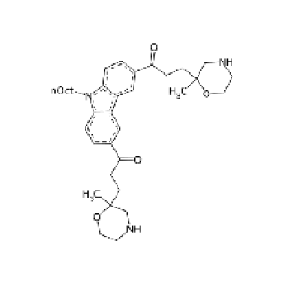 CCCCCCCCn1c2ccc(C(=O)CCC3(C)CNCCO3)cc2c2cc(C(=O)CCC3(C)CNCCO3)ccc21